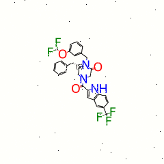 O=C(c1cc2cc(C(F)(F)F)ccc2[nH]1)N1CC(=O)N(Cc2cccc(OC(F)F)c2)[C@@H](Cc2ccccc2)C1